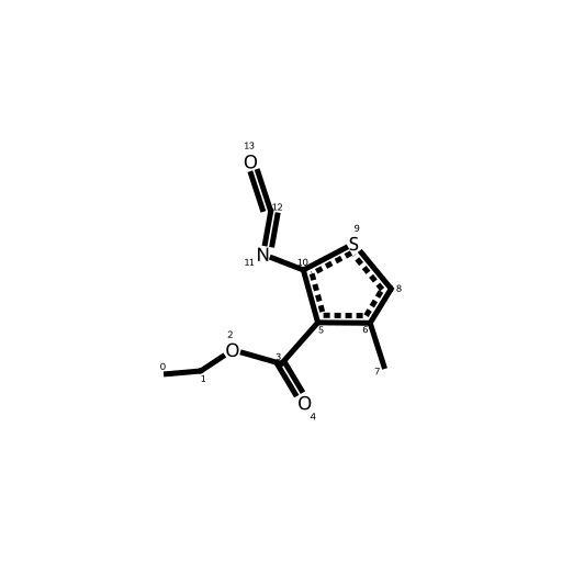 CCOC(=O)c1c(C)csc1N=C=O